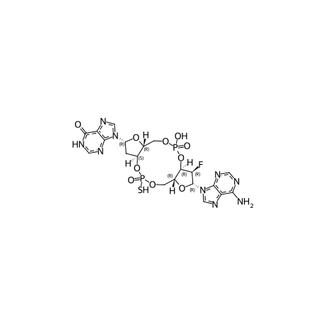 Nc1ncnc2c1ncn2[C@@H]1O[C@@H]2COP(=O)(S)O[C@H]3C[C@H](n4cnc5c(=O)[nH]cnc54)O[C@@H]3COP(=O)(O)O[C@H]2[C@H]1F